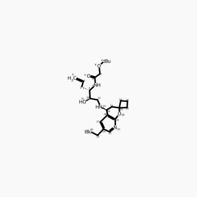 C=CC[C@H](NC(=O)COC(C)(C)C)[C@H](O)CN[C@H]1CC2(CCC2)Oc2ncc(CC(C)(C)C)cc21